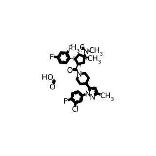 Cc1cc(C2CCN(C(=O)[C@@H]3C[C@@](C)(N(C)C)C[C@H]3c3ccc(F)cc3F)CC2)n(-c2ccc(F)c(Cl)c2)n1.O=CO